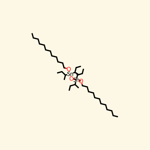 CCCCCCCCCCCC[O][Sn]([O][Sn]([O]CCCCCCCCCCCC)([CH](C)CC)[CH](C)CC)([CH](C)CC)[CH](C)CC